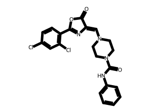 O=C1OC(c2ccc(Cl)cc2Cl)=NC1=CN1CCN(C(=O)Nc2ccccc2)CC1